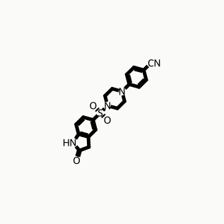 N#Cc1ccc(N2CCN(S(=O)(=O)c3ccc4c(c3)CC(=O)N4)CC2)cc1